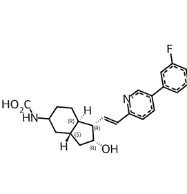 O=C(O)NC1CC[C@@H]2[C@@H](C1)C[C@@H](O)[C@H]2C=Cc1ccc(-c2cccc(F)c2)cn1